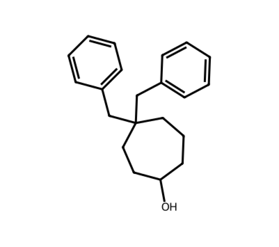 OC1CCCC(Cc2ccccc2)(Cc2ccccc2)CC1